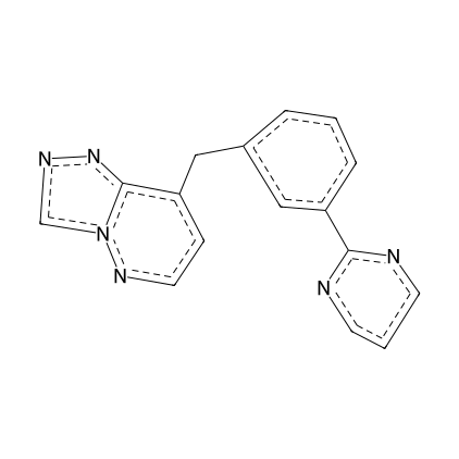 c1cnc(-c2cccc(Cc3ccnn4cnnc34)c2)nc1